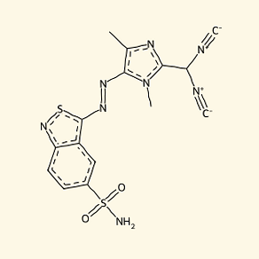 [C-]#[N+]C([N+]#[C-])c1nc(C)c(/N=N/c2snc3ccc(S(N)(=O)=O)cc23)n1C